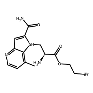 Cc1ccnc2c1[SH](C[C@H](N)C(=O)OCCC(C)C)C(C(N)=O)=C2